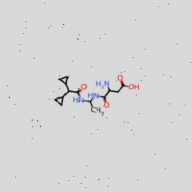 CC(NC(=O)C(N)CC(=O)O)NC(=O)C(C1CC1)C1CC1